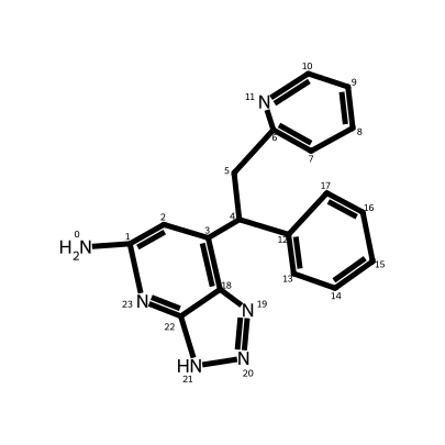 Nc1cc(C(Cc2ccccn2)c2ccccc2)c2nn[nH]c2n1